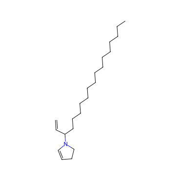 C=CC(CCCCCCCCCCCCCCC)N1C=CCC1